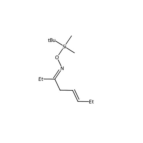 CCC=CCC(CC)=NO[Si](C)(C)C(C)(C)C